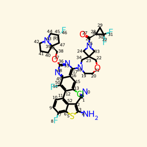 N#Cc1c(N)sc2c(F)ccc(-c3c(Cl)cc4c(N5CCOCC6(CN(C(=O)[C@H]7CC7(F)F)C6)C5)nc(OC[C@@]56CCCN5C[C@H](F)C6)nc4c3F)c12